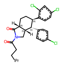 CC(C)CCC(=O)N1C[C@H]2[C@@H](c3ccc(Cl)cc3)[C@H](c3ccc(Cl)cc3Cl)CC[C@H]2C1=O